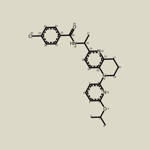 CC(C)Oc1cccc(N2CCCc3nc(C(C)NC(=O)c4ccc(Cl)cc4)ccc32)n1